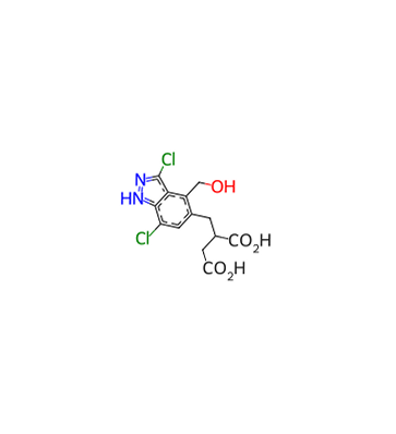 O=C(O)CC(Cc1cc(Cl)c2[nH]nc(Cl)c2c1CO)C(=O)O